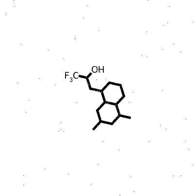 CC1CC(C)C2CCCC(CC(O)C(F)(F)F)C2C1